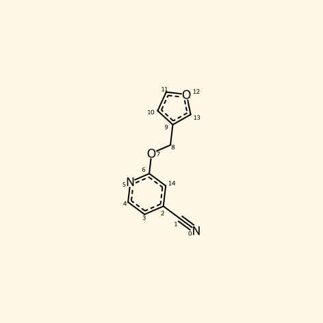 N#Cc1ccnc(OCc2ccoc2)c1